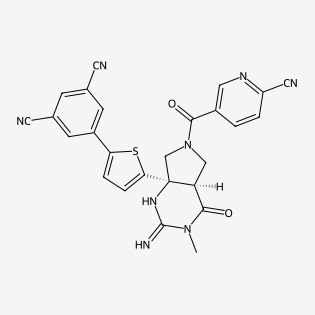 CN1C(=N)N[C@@]2(c3ccc(-c4cc(C#N)cc(C#N)c4)s3)CN(C(=O)c3ccc(C#N)nc3)C[C@H]2C1=O